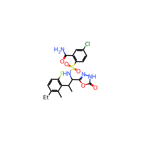 CCc1ccc(F)c(C(C)C(NS(=O)(=O)c2ccc(Cl)cc2C(N)=O)c2n[nH]c(=O)o2)c1C